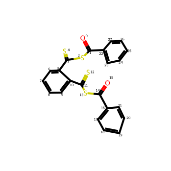 O=C(SC(=S)c1ccccc1C(=S)SC(=O)c1ccccc1)c1ccccc1